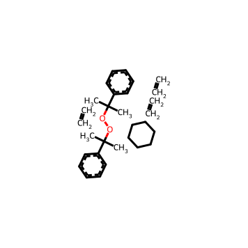 C1CCCCC1.C=C.C=C.C=C.CC(C)(OOC(C)(C)c1ccccc1)c1ccccc1